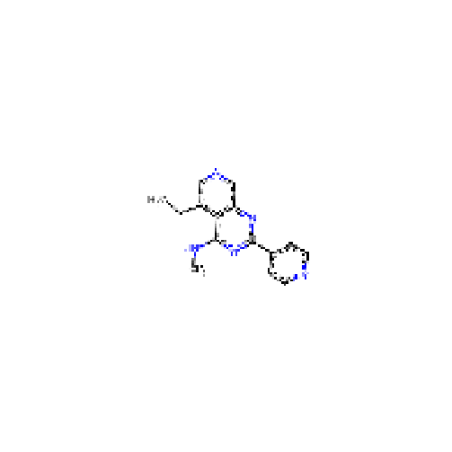 CCc1cncc2nc(-c3ccncc3)nc(NC)c12